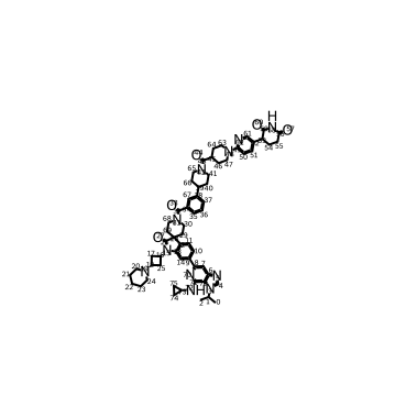 CC(C)n1cnc2cc(-c3ccc4c(c3)N([C@H]3C[C@@H](N5CCCCC5)C3)C(=O)C43CCN(C(=O)c4cccc(C5CCN(C(=O)C6CCN(c7ccc(C8CCC(=O)NC8=O)cn7)CC6)CC5)c4)CC3)nc(NC3CC3)c21